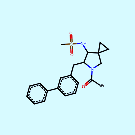 CC(C)C(=O)N1CC2(CC2)C(NS(C)(=O)=O)C1Cc1cccc(-c2ccccc2)c1